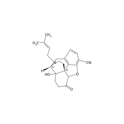 CC(C)=CCN1CC[C@@]23c4c5ccc(C#N)c4OC2C(=O)CCC3(O)[C@@H]1C5